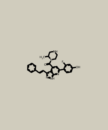 CC1CNCCN1C(=O)c1cc(-c2ccc(O)cc2F)nc2[nH]nc(C=Cc3ccccc3)c12